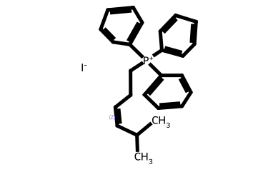 CC(C)/C=C\CC[P+](c1ccccc1)(c1ccccc1)c1ccccc1.[I-]